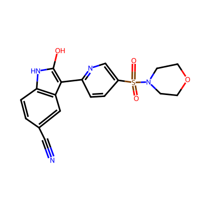 N#Cc1ccc2[nH]c(O)c(-c3ccc(S(=O)(=O)N4CCOCC4)cn3)c2c1